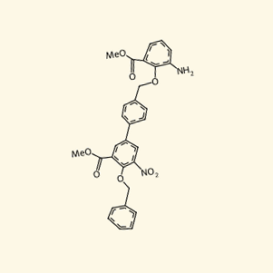 COC(=O)c1cccc(N)c1OCc1ccc(-c2cc(C(=O)OC)c(OCc3ccccc3)c([N+](=O)[O-])c2)cc1